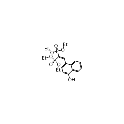 CCOP(=O)(OCC)C(=Cc1ccc(O)c2ccccc12)P(=O)(OCC)OCC